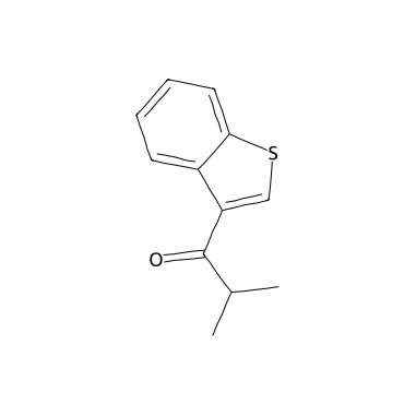 CC(C)C(=O)c1csc2ccccc12